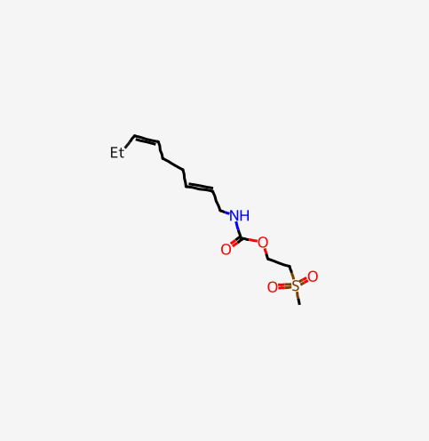 CC/C=C\CC/C=C/CNC(=O)OCCS(C)(=O)=O